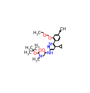 C#Cc1ccc(-c2nnc(NC(=O)CN(C)C(=O)OC(C)(C)C)cc2C2CC2)c(OCOCC)c1